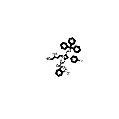 N[C@H](CO)CCN1[C@H](COC(c2ccccc2)(c2ccccc2)c2ccccc2)[C@H](c2ccc(Br)cc2)[C@@H]1CNS(=O)(=O)c1ccccc1[N+](=O)[O-]